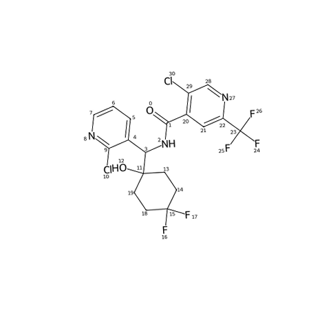 O=C(NC(c1cccnc1Cl)C1(O)CCC(F)(F)CC1)c1cc(C(F)(F)F)ncc1Cl